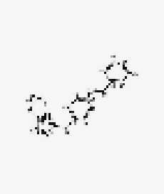 CCn1nnc(Cc2ccc(OCc3ccccc3)cc2)n1